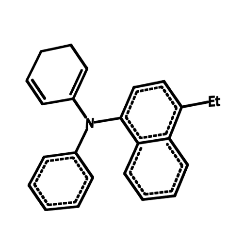 CCc1ccc(N(C2=CCCC=C2)c2ccccc2)c2ccccc12